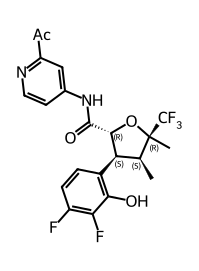 CC(=O)c1cc(NC(=O)[C@@H]2O[C@@](C)(C(F)(F)F)[C@@H](C)[C@H]2c2ccc(F)c(F)c2O)ccn1